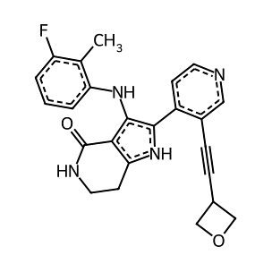 Cc1c(F)cccc1Nc1c(-c2ccncc2C#CC2COC2)[nH]c2c1C(=O)NCC2